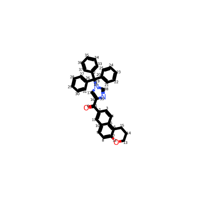 O=C(c1ccc2c3c(ccc2c1)OCCC3)c1cn(C(c2ccccc2)(c2ccccc2)c2ccccc2)cn1